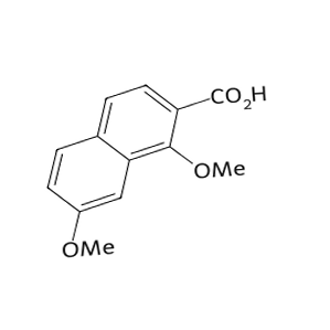 COc1ccc2ccc(C(=O)O)c(OC)c2c1